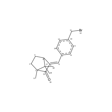 CC12CCC(C(=Cc3ccc(CBr)cc3)C1=O)C2(C)C